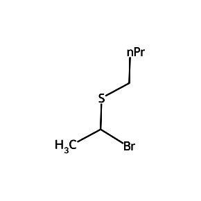 CCCCSC(C)Br